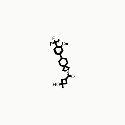 COc1cc(C2CCC3(CC2)CN(C(=O)C2CC(C)(O)C2)C3)ccc1C(F)(F)F